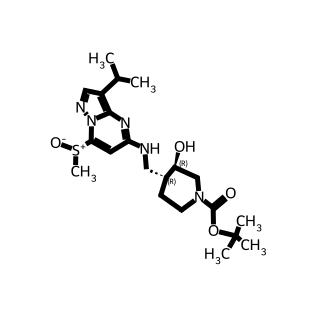 CC(C)c1cnn2c([S+](C)[O-])cc(NC[C@H]3CCN(C(=O)OC(C)(C)C)C[C@@H]3O)nc12